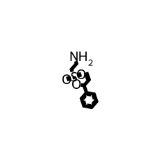 C=CC(OS(=O)(=O)CCN)c1ccccc1